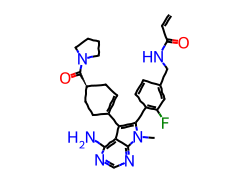 C=CC(=O)NCc1ccc(-c2c(C3=CC[C@H](C(=O)N4CCCC4)CC3)c3c(N)ncnc3n2C)c(F)c1